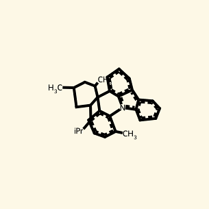 Cc1cccc2c1-n1c3ccccc3c3cccc(c31)C21C(C)CC(C)CC1CC(C)C